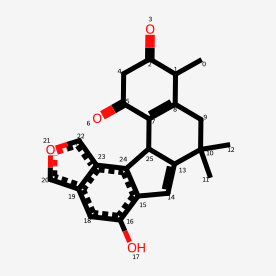 CC1C(=O)CC(=O)C2=C1CC(C)(C)C1=Cc3c(O)cc4cocc4c3C12